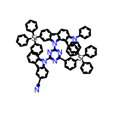 N#Cc1ccc2c(c1)c1ccccc1n2-c1nc(-c2cccc([Si](c3ccccc3)(c3ccccc3)c3ccccc3)c2)nc(-n2c3cc([Si](c4ccccc4)(c4ccccc4)c4ccccc4)ccc3c3ccc4c(c5ccccc5n4-c4ccccc4)c32)n1